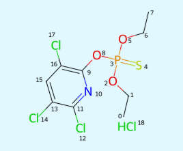 CCOP(=S)(OCC)Oc1nc(Cl)c(Cl)cc1Cl.Cl